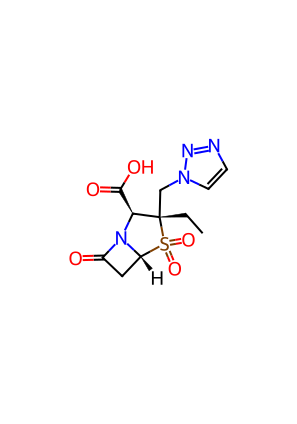 CC[C@]1(Cn2ccnn2)[C@H](C(=O)O)N2C(=O)C[C@H]2S1(=O)=O